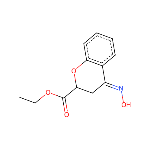 CCOC(=O)C1C/C(=N\O)c2ccccc2O1